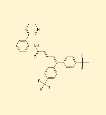 O=C(C=CC=C(c1ccc(C(F)(F)F)cc1)c1ccc(C(F)(F)F)cc1)Nc1ccccc1-c1cccnc1